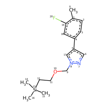 Cc1ccc(-c2cnn(COCC[Si](C)(C)C)c2)cc1F